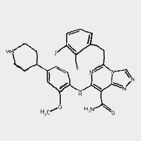 COc1cc(C2CCNCC2)ccc1Nc1nc(Cc2cccc(F)c2F)n2cnnc2c1C(N)=O